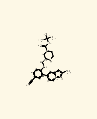 CC(C)(C)OC(=O)N1CCO[C@@H](COc2ccc(C#N)cc2-c2ccn3nc(N)cc3c2)C1